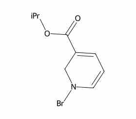 CC(C)OC(=O)C1=CC=CN(Br)C1